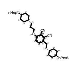 CCCCCCC[C@H]1CC[C@H](CCCOc2ccc(CC[C@H]3CC[C@H](CCCCC)CC3)c(C#N)c2C#N)CC1